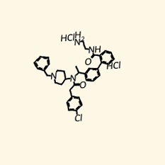 CC(c1cccc(-c2ccccc2C(=O)NCCN)c1)N(C(=O)Cc1ccc(Cl)cc1)C1CCN(Cc2ccccc2)CC1.Cl.Cl